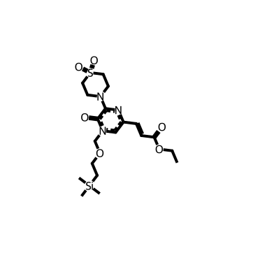 CCOC(=O)/C=C/c1cn(COCC[Si](C)(C)C)c(=O)c(N2CCS(=O)(=O)CC2)n1